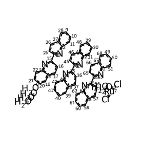 O.O.O.O.O.O.[Cl][Ru][Cl].c1ccc2nc(-c3ccc4ccccc4n3)ccc2c1.c1ccc2nc(-c3ccc4ccccc4n3)ccc2c1.c1ccc2nc(-c3ccc4ccccc4n3)ccc2c1